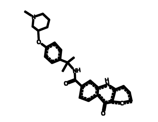 CN1CCCC(Oc2ccc(C(C)(C)NC(=O)c3ccc4c(=O)c5ccccc5[nH]c4c3)cc2)C1